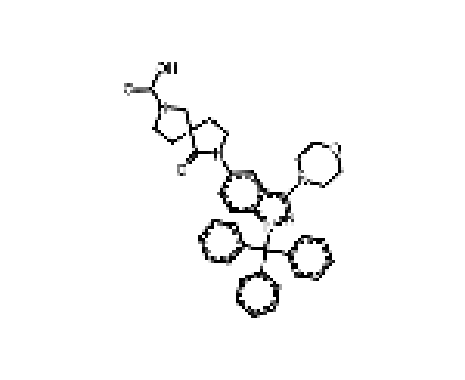 O=C(O)N1CC[C@]2(CCN(c3ccc4c(c3)c(N3CCOCC3)nn4C(c3ccccc3)(c3ccccc3)c3ccccc3)C2=O)C1